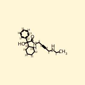 CCNCC#CCNC(=O)C(O)(c1ccccc1)C1CCCCC1